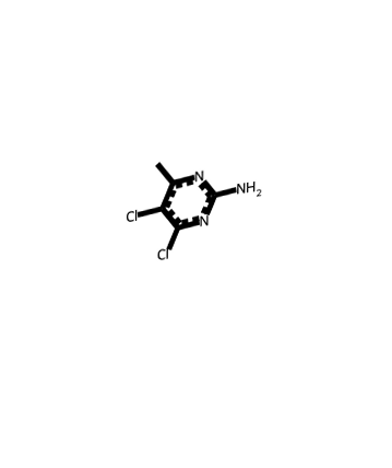 Cc1nc(N)nc(Cl)c1Cl